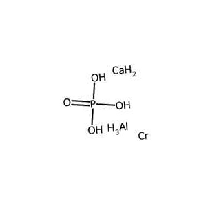 O=P(O)(O)O.[AlH3].[CaH2].[Cr]